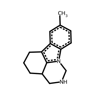 Cc1ccc2c(c1)c1c3n2CNCC3CCC1